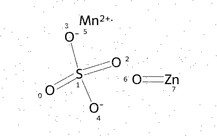 O=S(=O)([O-])[O-].[Mn+2].[O]=[Zn]